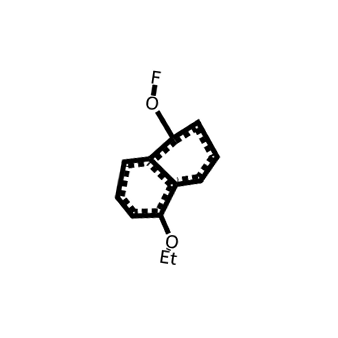 CCOc1cccc2c(OF)cccc12